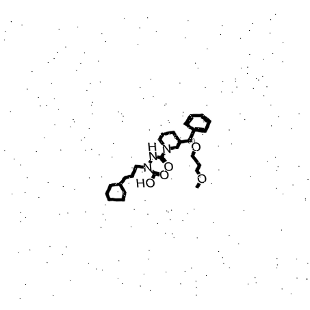 COCCCO[C@@H](c1ccccc1)C1CCCN(C(=O)NN(CCCC2CCCCC2)C(=O)O)C1